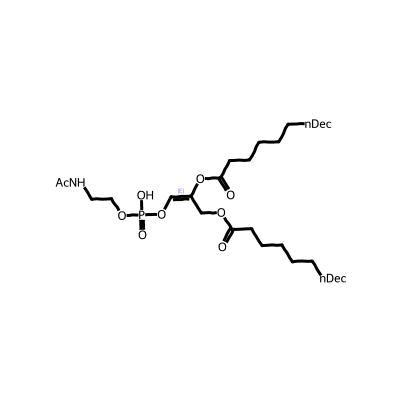 CCCCCCCCCCCCCCCC(=O)OC/C(=C\OP(=O)(O)OCCNC(C)=O)OC(=O)CCCCCCCCCCCCCCC